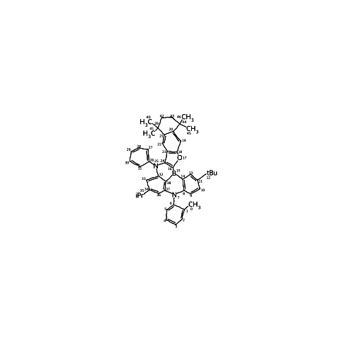 Cc1ccccc1N1c2ccc(C(C)(C)C)cc2B2c3oc4cc5c(cc4c3N(c3ccccc3)c3cc(C(C)C)cc1c32)C(C)(C)CCC5(C)C